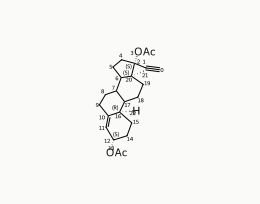 C#C[C@]1(OC(C)=O)CCC2C3CCC4=C[C@@H](OC(C)=O)CC[C@@H]4C3CC[C@@]21C